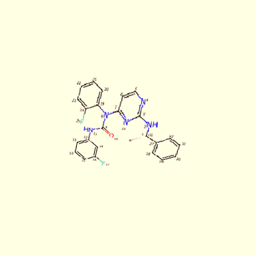 C[C@H](Nc1nccc(N(C(=O)Nc2cccc(F)c2)c2ccccc2F)n1)c1ccccc1